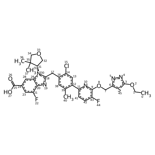 CCOc1nnc(COc2nc(-c3cc(Cl)c(Cc4nc5c(F)cc(C(=O)O)cc5n4[C@@H]4COCC4(C)C)cc3C)ccc2F)s1